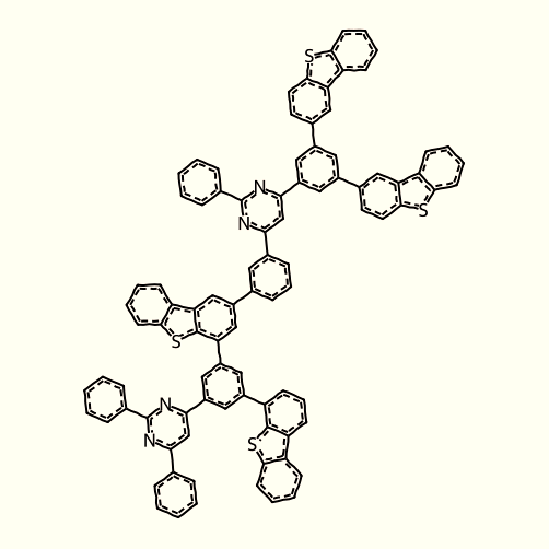 c1ccc(-c2cc(-c3cc(-c4cccc5c4sc4ccccc45)cc(-c4cc(-c5cccc(-c6cc(-c7cc(-c8ccc9sc%10ccccc%10c9c8)cc(-c8ccc9sc%10ccccc%10c9c8)c7)nc(-c7ccccc7)n6)c5)cc5c4sc4ccccc45)c3)nc(-c3ccccc3)n2)cc1